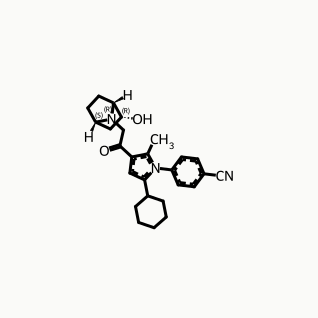 Cc1c(C(=O)CN2[C@H]3CC[C@@H]2[C@H](O)C3)cc(C2CCCCC2)n1-c1ccc(C#N)cc1